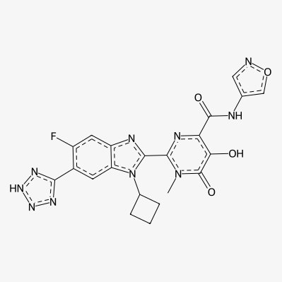 Cn1c(-c2nc3cc(F)c(-c4nn[nH]n4)cc3n2C2CCC2)nc(C(=O)Nc2cnoc2)c(O)c1=O